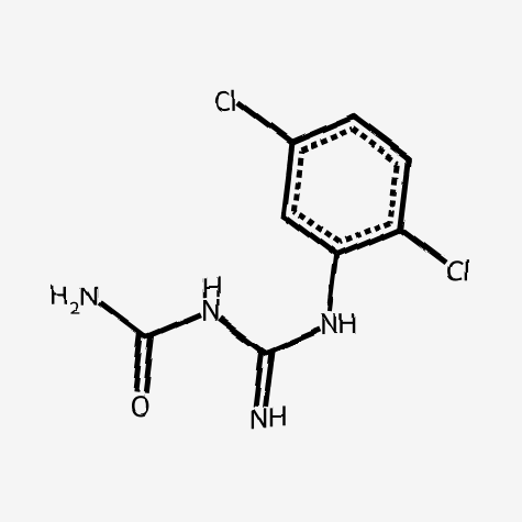 N=C(NC(N)=O)Nc1cc(Cl)ccc1Cl